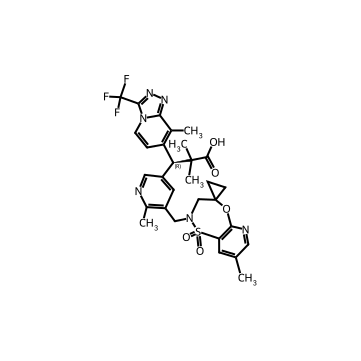 Cc1cnc2c(c1)S(=O)(=O)N(Cc1cc([C@@H](c3ccn4c(C(F)(F)F)nnc4c3C)C(C)(C)C(=O)O)cnc1C)CC1(CC1)O2